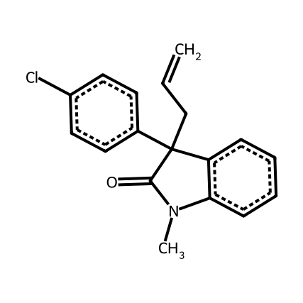 C=CCC1(c2ccc(Cl)cc2)C(=O)N(C)c2ccccc21